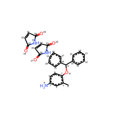 Cc1cc(N)ccc1OC(c1ccccc1)c1ccccc1.O=C1C=CC(=O)N1.O=C1C=CC(=O)N1